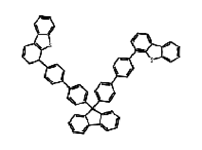 C1=Cc2c(sc3ccccc23)C(c2ccc(-c3ccc(C4(c5ccc(-c6ccc(-c7cccc8c7sc7ccccc78)cc6)cc5)c5ccccc5-c5ccccc54)cc3)cc2)C1